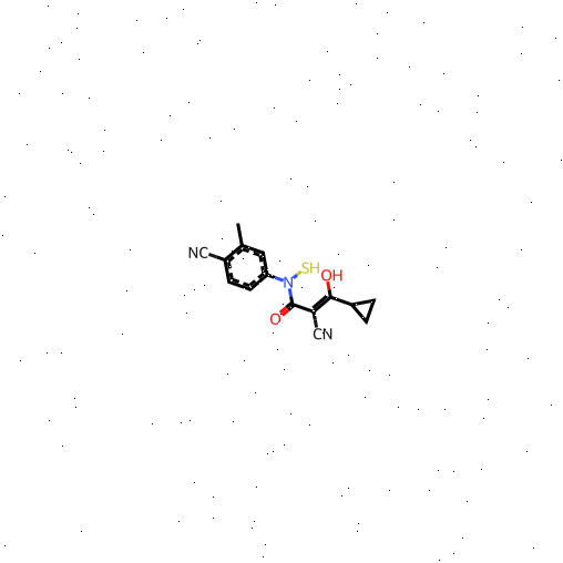 Cc1cc(N(S)C(=O)C(C#N)=C(O)C2CC2)ccc1C#N